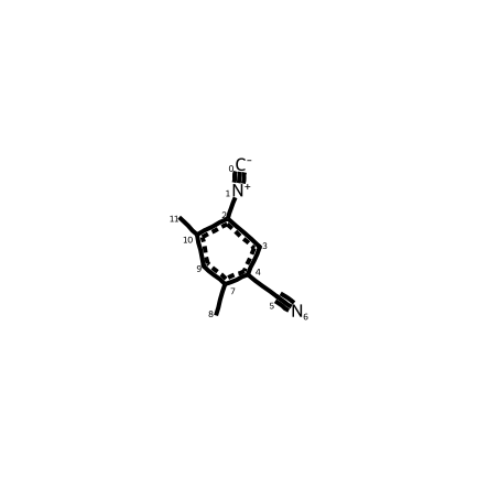 [C-]#[N+]c1cc(C#N)c(C)cc1C